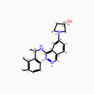 Cc1cccc([C@@H](C)Nc2nncc3ccc(N4CC[C@H](O)C4)cc23)c1C